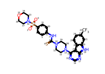 O=S(=O)(c1ccc(NC(=S)N2CCN(c3ncnc4[nH]c5cc(C(F)(F)F)ccc5c34)CC2)cc1)N1CCOCC1